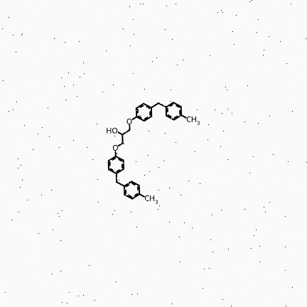 Cc1ccc(Cc2ccc(OCC(O)COc3ccc(Cc4ccc(C)cc4)cc3)cc2)cc1